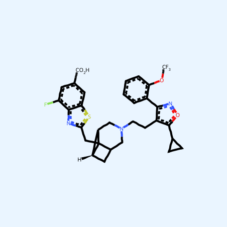 O=C(O)c1cc(F)c2nc(CC34C5C[C@@H]3C4CN(CCc3c(-c4ccccc4OC(F)(F)F)noc3C3CC3)C5)sc2c1